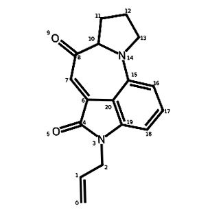 C=CCN1C(=O)C2=CC(=O)C3CCCN3c3cccc1c32